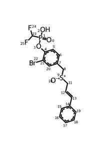 O=P(O)(Oc1ccc(C[S+]([O-])CC=Cc2ccccc2)cc1Br)C(F)F